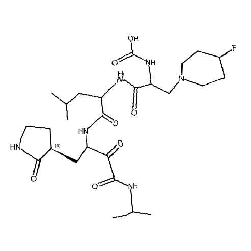 CC(C)CC(NC(=O)C(CN1CCC(F)CC1)NC(=O)O)C(=O)NC(C[C@@H]1CCNC1=O)C(=O)C(=O)NC(C)C